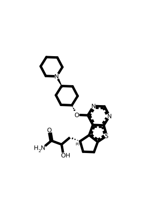 NC(=O)C(O)C[C@H]1CCc2sc3ncnc(O[C@H]4CC[C@H](N5CCCCC5)CC4)c3c21